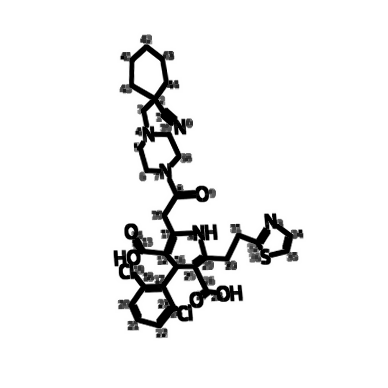 N#CC1(CN2CCN(C(=O)CC3=C(C(=O)O)C(c4c(Cl)cccc4Cl)C(C(=O)O)=C(CCc4nccs4)N3)CC2)CCCCC1